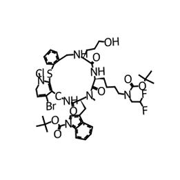 CN1C(=O)[C@H](CCCCN(CC(F)F)C(=O)OC(C)(C)C)NC(=O)[C@H](CCCO)NCc2ccccc2SC2=C(CNC(=O)[C@@H]1Cc1cn(C(=O)OC(C)(C)C)c3ccccc13)C(Br)=CCN2Cl